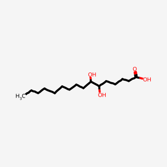 CCCCCCCCCC(O)C(O)CCCCC(=O)O